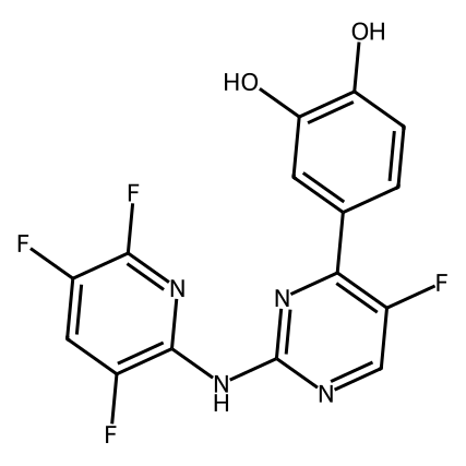 Oc1ccc(-c2nc(Nc3nc(F)c(F)cc3F)ncc2F)cc1O